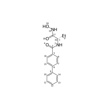 CC[C@H](NC(=O)c1ccc(-c2ccccc2)cc1)C(=O)NO